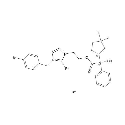 CC(C)c1n(CCOC(=O)[C@](O)(c2ccccc2)[C@@H]2CCC(F)(F)C2)cc[n+]1Cc1ccc(Br)cc1.[Br-]